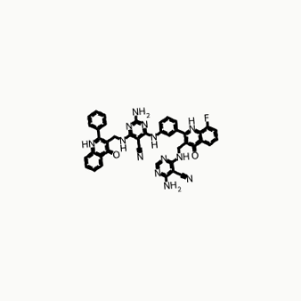 N#Cc1c(N)ncnc1NCc1c(-c2cccc(Nc3nc(N)nc(NCc4c(-c5ccccc5)[nH]c5ccccc5c4=O)c3C#N)c2)[nH]c2c(F)cccc2c1=O